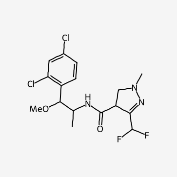 COC(c1ccc(Cl)cc1Cl)C(C)NC(=O)C1CN(C)N=C1C(F)F